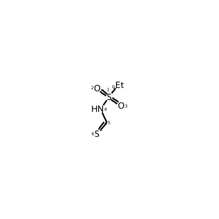 CCS(=O)(=O)N[C]=S